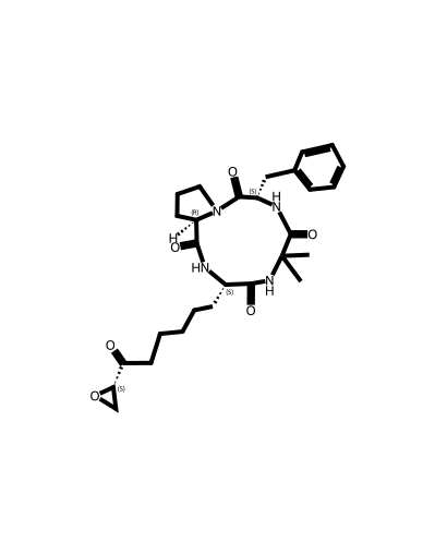 CC1(C)NC(=O)[C@H](CCCCCC(=O)[C@@H]2CO2)NC(=O)[C@H]2CCCN2C(=O)[C@H](Cc2ccccc2)NC1=O